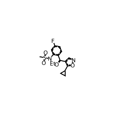 CCN(c1cc(F)ccc1C(=O)c1cnoc1C1CC1)S(C)(=O)=O